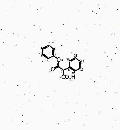 O=C(O)C(C(=O)Oc1ccccc1)c1ccccc1